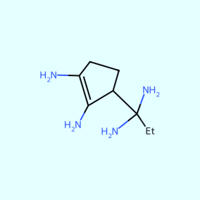 CCC(N)(N)C1CCC(N)=C1N